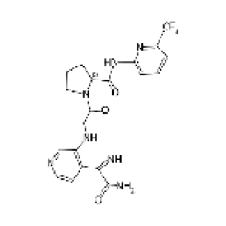 N=C(C(N)=O)c1ccncc1NCC(=O)N1CCC[C@H]1C(=O)Nc1cccc(C(F)(F)F)n1